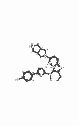 CCc1nc2ccc(N3CC4CNCC4C3)nn2c1N(C)c1nc(-c2ccc(F)cc2)cs1